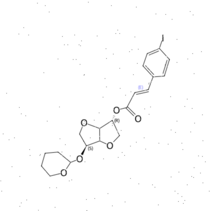 O=C(/C=C/c1ccc(I)cc1)O[C@@H]1COC2C1OC[C@@H]2OC1CCCCO1